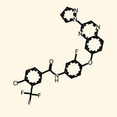 O=C(Nc1ccc(Oc2ccc3ncc(-n4cccn4)nc3c2)c(F)c1)c1ccc(Cl)c(C(F)(F)F)c1